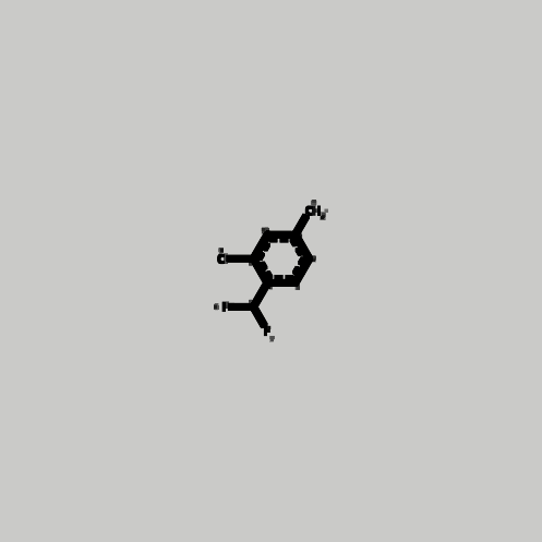 [CH2]c1ccc(C(F)F)c(Cl)c1